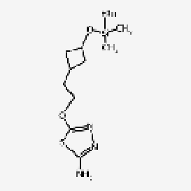 CC(C)(C)[Si](C)(C)OC1CC(CCOc2nnc(N)s2)C1